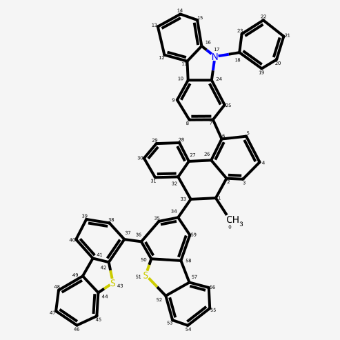 CC1c2cccc(-c3ccc4c5ccccc5n(-c5ccccc5)c4c3)c2-c2ccccc2C1c1cc(-c2cccc3c2sc2ccccc23)c2sc3ccccc3c2c1